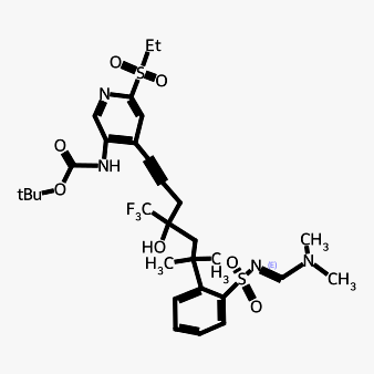 CCS(=O)(=O)c1cc(C#CCC(O)(CC(C)(C)c2ccccc2S(=O)(=O)/N=C/N(C)C)C(F)(F)F)c(NC(=O)OC(C)(C)C)cn1